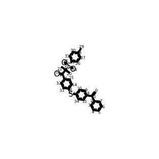 C=C(c1ccccc1)c1ccc(Sc2ccc(C(=O)C(C)(C)S(=O)(=O)c3ccc(C)cc3)cc2)cc1